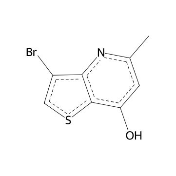 Cc1cc(O)c2scc(Br)c2n1